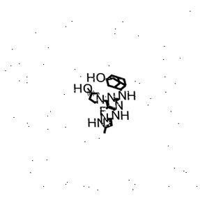 Cc1cc(Nc2nc(NC3C4CC5CC3CC(O)(C5)C4)nc(N3CC[C@@H](O)C3)c2F)n[nH]1